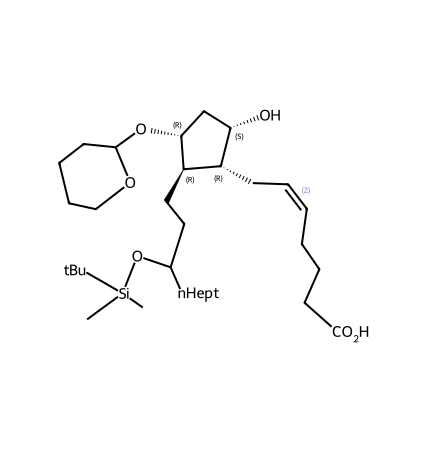 CCCCCCCC(CC[C@@H]1[C@@H](C/C=C\CCCC(=O)O)[C@@H](O)C[C@H]1OC1CCCCO1)O[Si](C)(C)C(C)(C)C